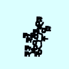 CCO[Si](C)(CCCN(C)C(CC(=O)O[Si](C(C)C)(C(C)C)C(C)C)C(=O)O[Si](C(C)C)(C(C)C)C(C)C)OCC